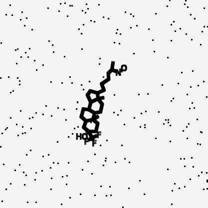 CC(CCCCC1CCC2C3CCC4C[C@](O)(C(F)(F)F)CCC4(C)C3CCC12C)N=O